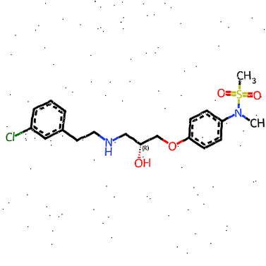 CN(c1ccc(OC[C@H](O)CNCCc2cccc(Cl)c2)cc1)S(C)(=O)=O